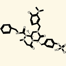 CN(C)c1cc(CN2C[C@H]3N(C(=O)CN(C)N3C(=O)NCc3ccccc3)[C@@H](Cc3ccc(OP(=O)(O)O)cc3)C2=O)ccc1Cl